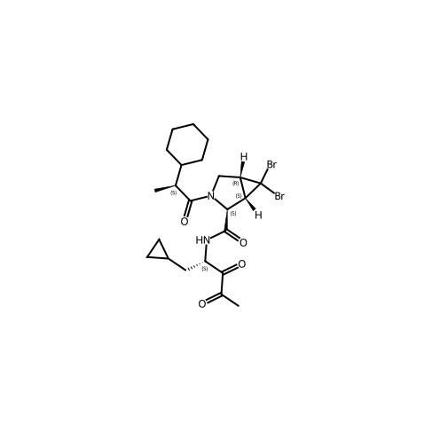 CC(=O)C(=O)[C@H](CC1CC1)NC(=O)[C@@H]1[C@@H]2[C@H](CN1C(=O)[C@@H](C)C1CCCCC1)C2(Br)Br